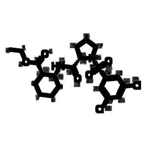 CCOC(=O)[C@@H]1CCCC[C@@H]1NC(=O)[C@@H]1CCCN1S(=O)(=O)c1cc(Cl)cc(Cl)c1